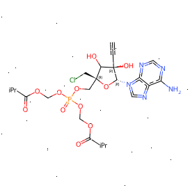 C#C[C@@]1(O)C(O)[C@@](CCl)(COP(=O)(OCOC(=O)C(C)C)OCOC(=O)C(C)C)O[C@H]1n1cnc2c(N)ncnc21